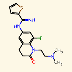 CN(C)CCN1C(=O)CCc2cc(NC(=N)c3cccs3)cc(F)c21